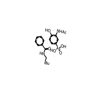 CC(=O)Nc1cc([As](=O)(O)O)ccc1O.CCC(C)CNC(=O)c1ccccc1